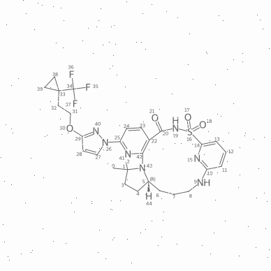 CC1(C)CC[C@H]2CCCNc3cccc(n3)S(=O)(=O)NC(=O)c3ccc(-n4ccc(OCCC5(C(F)(F)F)CC5)n4)nc3N21